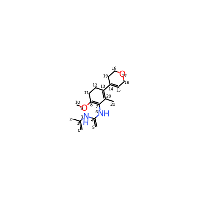 C=C(C)NC(=C)NC1=C(OC)CCC(C2=CCOCC2)=C1C